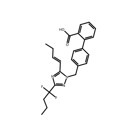 CCC=Cc1nc(C(F)(F)CCC)nn1Cc1ccc(-c2ccccc2C(=O)O)cc1